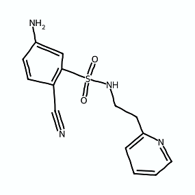 N#Cc1ccc(N)cc1S(=O)(=O)NCCc1ccccn1